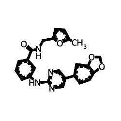 Cc1ccc(CNC(=O)c2cccc(Nc3ncc(-c4ccc5c(c4)OCO5)cn3)c2)o1